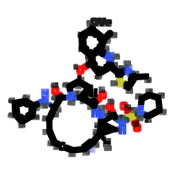 COc1ccc2c(O[C@@H]3C[C@H]4C(=O)N[C@]5(C(=O)NS(=O)(=O)N6CCCCC6)C[C@H]5/C=C\CCCCC[C@H](Nc5ccccc5)C(=O)N4C3)cc(-c3nc(C)cs3)nc2c1C